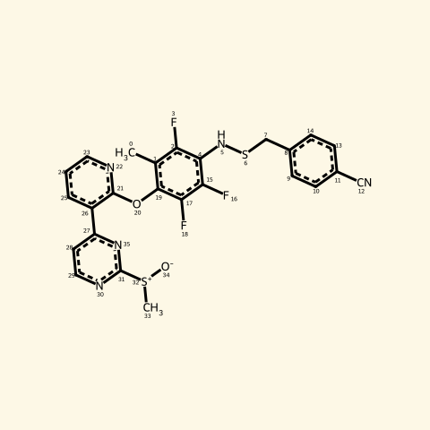 Cc1c(F)c(NSCc2ccc(C#N)cc2)c(F)c(F)c1Oc1ncccc1-c1ccnc([S+](C)[O-])n1